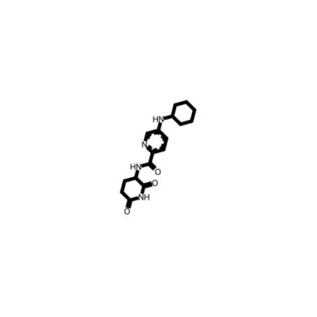 O=C1CCC(NC(=O)c2ccc(NC3CCCCC3)cn2)C(=O)N1